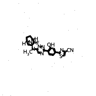 CN(c1cnc(-c2ccc(-c3nc(C#N)cs3)cc2O)nn1)[C@H]1C[C@@H]2CC[C@@H](N2)[C@H]1F